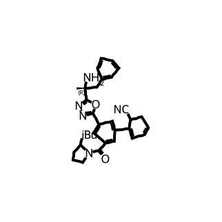 CCC(C)C1CCCN1C(=O)c1cc(C2=CC=CCC2C#N)cc(-c2nnc([C@](C)(N)Cc3ccccc3)o2)c1